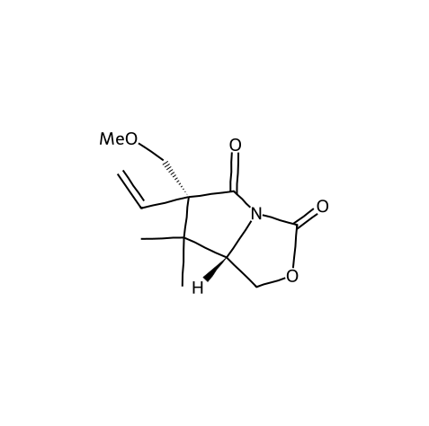 C=C[C@@]1(COC)C(=O)N2C(=O)OC[C@@H]2C1(C)C